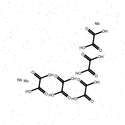 O=C(O)C(=O)O.O=C(O)C(=O)O.O=C(O)C(=O)O.O=C(O)C(=O)O.O=C(O)C(=O)O.[Nb].[Nb].[Nb]